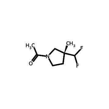 CC(=O)N1CC[C@@](C)(C(F)F)C1